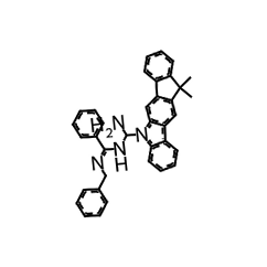 CC1(C)c2ccccc2-c2cc3c(cc21)c1ccccc1n3C(N)N/C(=N\Cc1ccccc1)c1ccccc1